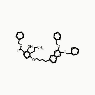 CCCc1c(OCCCCc2ccc3cc(OCc4ccccc4)c(OCc4ccccc4)cc3c2)ccc(C(=O)OCc2ccccc2)c1O